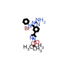 CC(C)(C)OC(=O)n1cc(-c2ccc3nc(N)nc(N(Br)c4ccccc4)c3c2)cn1